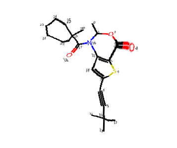 CC1OC(=O)c2sc(C#CC(C)(C)C)cc2N1C(=O)C1(C)CCCCC1